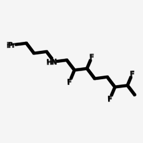 CC(C)CCCNCC(F)C(F)CCC(F)C(C)F